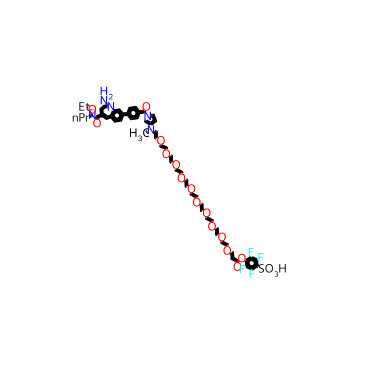 CCCN(OCC)C(=O)C1=Cc2ccc(-c3ccc(C(=O)N4CCC(N(C)CCOCCOCCOCCOCCOCCOCCOCCOCCOCCOCCC(=O)Oc5c(F)c(F)c(S(=O)(=O)O)c(F)c5F)C4)cc3)cc2N=C(N)C1